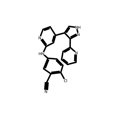 N#Cc1cc(Nc2cc(-c3c[nH]nc3-c3ccccn3)ccn2)ccc1Cl